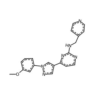 COc1cccc(-n2cc(-c3ccnc(NCc4ccncc4)n3)cn2)c1